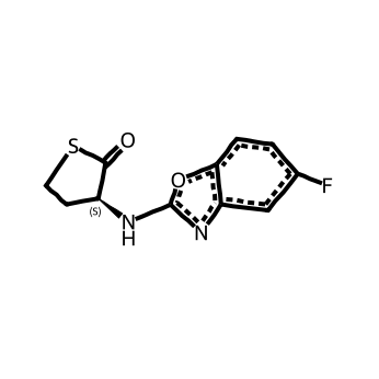 O=C1SCC[C@@H]1Nc1nc2cc(F)ccc2o1